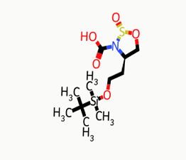 CC(C)(C)[Si](C)(C)OCC[C@@H]1COS(=O)N1C(=O)O